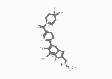 O=C(O)NCc1cc2cc(-c3ccc(C(=O)N4CCC(F)(F)CC4)cn3)c(F)c(F)c2o1